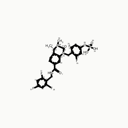 C[C@H]1c2ccc(C(=O)NCc3c(F)cc(F)cc3F)cc2N(Cc2c(F)cc(OP(=O)(O)O)cc2F)C(=O)N1C